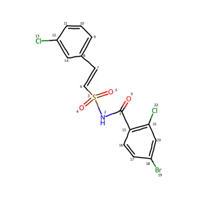 O=C(NS(=O)(=O)/C=C/c1cccc(Cl)c1)c1ccc(Br)cc1Cl